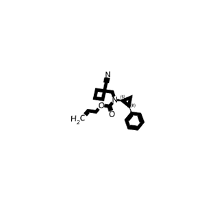 C=CCOC(=O)N(CC1(C#N)CCC1)[C@H]1C[C@@H]1c1ccccc1